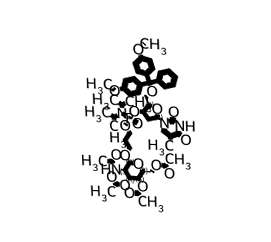 COc1ccc(C(OC[C@H]2O[C@@H](n3cc(C)c(=O)[nH]c3=O)CC2OP(=O)(OCCCO[C@@H]2O[C@H](COC(C)=O)[C@@H](OC(C)=O)[C@H](OC(C)=O)[C@@H]2NC(C)=O)N(C(C)C)C(C)C)(c2ccccc2)c2ccc(OC)cc2)cc1